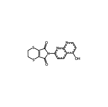 O=C1C2=C(SCCS2)C(=O)N1c1ccc2c(O)ccnc2n1